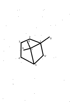 CC12C[CH]CC(C1)C2(C)C